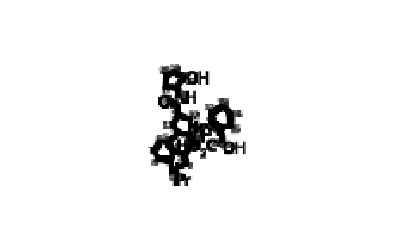 CC(C)n1cc2c3c(cccc31)C1CC(C(=O)NC3CCC[C@H]3O)CN(C)[C@@H]1C2.O=C(O)[C@@H](O)c1ccccc1